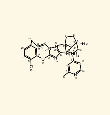 Cc1cc(N2C[C@H]3CC[C@@H](C2)[C@H]3Nc2nc(Oc3ccccc3Cl)n(/C=C/F)n2)ncn1